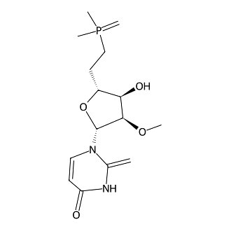 C=C1NC(=O)C=CN1[C@@H]1O[C@H](CCP(=C)(C)C)[C@@H](O)[C@H]1OC